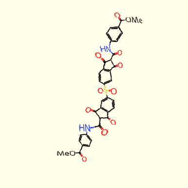 COC(=O)c1ccc(NC(=O)C2C(=O)c3ccc(S(=O)(=O)c4ccc5c(c4)C(=O)C(C(=O)Nc4ccc(C(=O)OC)cc4)C5=O)cc3C2=O)cc1